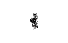 CC(C)C=C(C#N)C(=O)N1CCCC1Cn1nc(-c2ccc(Oc3ccccc3)cc2F)c2c(N)ncnc21